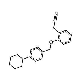 N#CCc1ccccc1OCc1ccc(C2CCCCC2)cc1